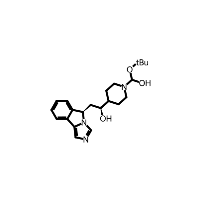 CC(C)(C)OC(O)N1CCC([C@@H](O)C[C@@H]2c3ccccc3-c3cncn32)CC1